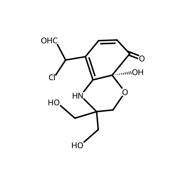 O=CC(Cl)C1=C2NC(CO)(CO)CO[C@]2(O)C(=O)C=C1